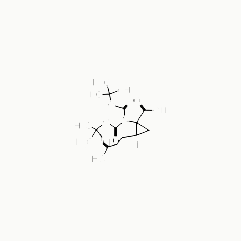 CC(C)(C)OC(=O)N(C(=O)OC(C)(C)C)C1(C(=O)O)C[C@@]1(F)CCC(=O)O